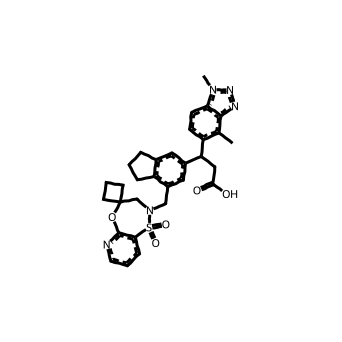 Cc1c(C(CC(=O)O)c2cc3c(c(CN4CC5(CCC5)Oc5ncccc5S4(=O)=O)c2)CCC3)ccc2c1nnn2C